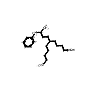 CCCCCCCCCCCCCCC(CCCCCCCCCCCCCC)CCC(C)Nc1ccccc1